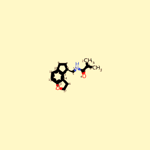 CC(C)C(=O)NC[C@@H]1CCc2ccc3c(c21)CCO3